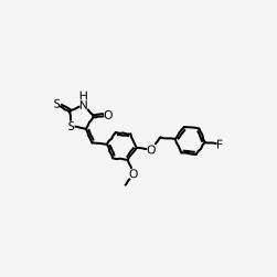 COc1cc(C=C2SC(=S)NC2=O)ccc1OCc1ccc(F)cc1